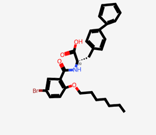 CCCCCCCOc1ccc(Br)cc1C(=O)N[C@@H](Cc1ccc(-c2ccccc2)cc1)C(=O)O